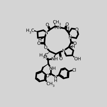 Cc1cccc(C[C@H](NC(=O)Nc2ccc(Cl)cc2)C(=O)N[C@@H]2C(=O)N3C[C@H](O)C[C@H]3C(=O)N3CCOC[C@H]3C(=O)N[C@@H](C)C(=O)N3C[C@H](C)C[C@H]3C(=O)O[C@H]2C)c1